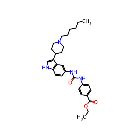 CCCCCCN1CCC(c2c[nH]c3ccc(NC(=O)Nc4ccc(C(=O)OCC)cc4)cc23)CC1